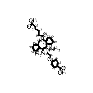 N/C1=C(\N(N)CCOc2ccc(C(=O)O)cc2)c2ccccc2N(C(=O)CCCCC(=O)O)Cc2ccccc21